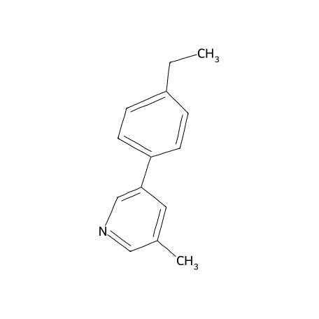 CCc1ccc(-c2cncc(C)c2)cc1